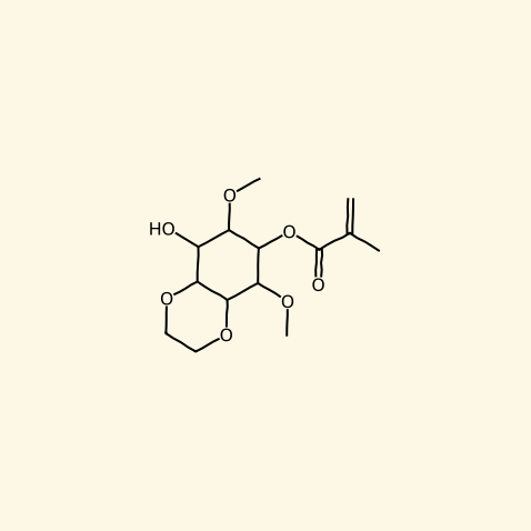 C=C(C)C(=O)OC1C(OC)C(O)C2OCCOC2C1OC